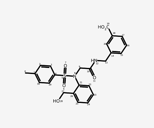 Cc1ccc(S(=O)(=O)N(CC(=O)NCc2cccc(C(=O)O)c2)c2ccccc2CO)cc1